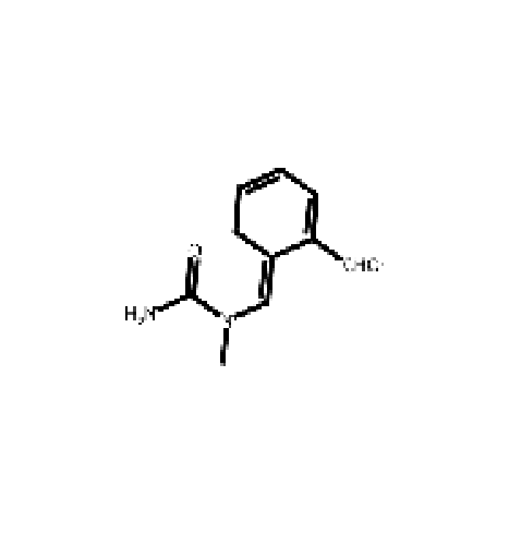 CN(C=C1CC=CC=C1[C]=O)C(N)=O